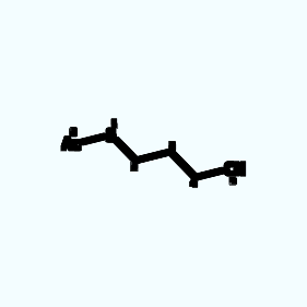 CC(=O)SCCCC#N